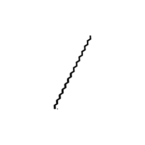 [CH]=CC=CC=CC=CC=CC=CC=CCCCCCCCCCCCCCC